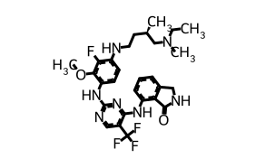 CCN(C)C[C@H](C)CCNc1ccc(Nc2ncc(C(F)(F)F)c(Nc3cccc4c3C(=O)NC4)n2)c(OC)c1F